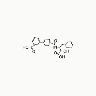 O=C(O)c1cccc(-c2ccc(C(=O)NC(Cc3ccccc3)C(O)C(=O)O)cc2)c1